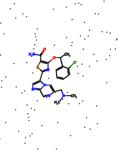 CC(Oc1nc(-c2cnc3cnc(CN(C)C)cn23)sc1C(N)=O)c1ccccc1Cl